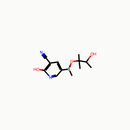 CB(OC(C)(C)C(C)O)c1cnc(O)c(C#N)c1